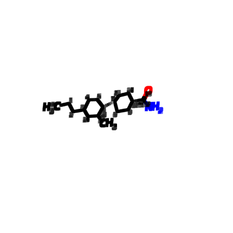 CCCC1CCC([C@H]2CC[C@H](C(N)=O)CC2)C(C)C1